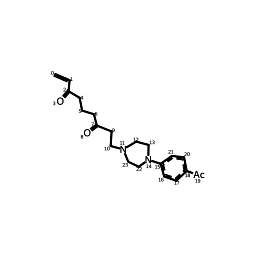 C=CC(=O)CCCC(=O)CCN1CCN(c2ccc(C(C)=O)cc2)CC1